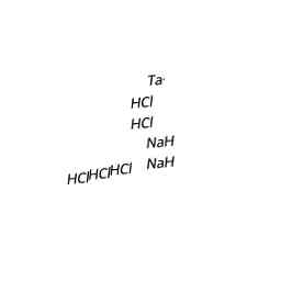 Cl.Cl.Cl.Cl.Cl.[NaH].[NaH].[Ta]